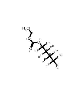 CCOC(=O)OC(F)(F)C(F)(F)C(F)(F)C(F)(F)F